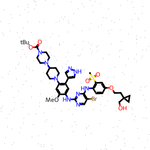 COc1cc(N2CCC(N3CCN(C(=O)OC(C)(C)C)CC3)CC2)c(-c2cn[nH]c2)cc1Nc1ncc(Br)c(Nc2ccc(OCCC3(CO)CC3)cc2S(C)(=O)=O)n1